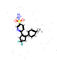 NS(=O)(=O)c1ccc(C2=C(c3ccc(C(F)(F)F)cc3)CC(F)(F)C2)nc1